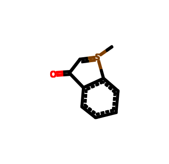 CS1=CC(=O)c2ccccc21